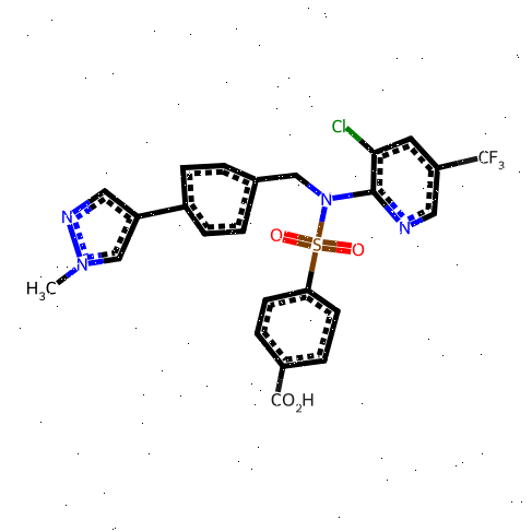 Cn1cc(-c2ccc(CN(c3ncc(C(F)(F)F)cc3Cl)S(=O)(=O)c3ccc(C(=O)O)cc3)cc2)cn1